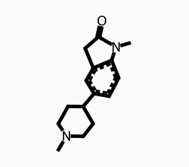 CN1CCC(c2ccc3c(c2)CC(=O)N3C)CC1